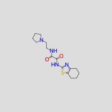 O=C(NCCN1CCCC1)C(=O)Nc1nc2c(s1)CCCC2